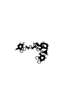 Cc1ccc(F)c(OCCOCc2ncc(C3=C(C(=O)N(Cc4cccc(Cl)c4Cl)C4CC4)C4CCCC(C3)N4)s2)c1Cl